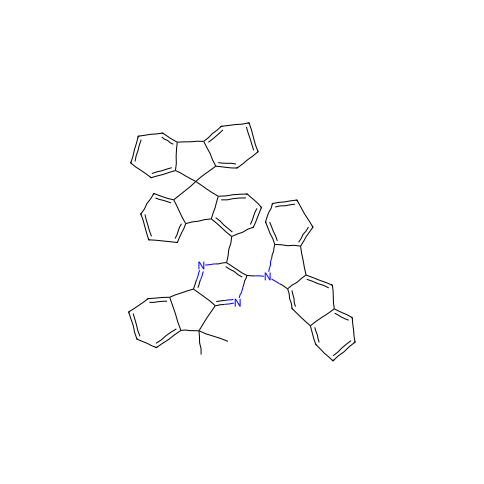 CC1(C)c2ccccc2-c2nc(-c3cccc4c3-c3ccccc3C43c4ccccc4-c4ccccc43)c(-n3c4ccccc4c4cc5ccccc5cc43)nc21